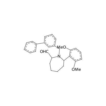 COc1cccc(OC)c1C1CCCCC(C=O)N1Cc1cccc(-c2ccccc2)c1